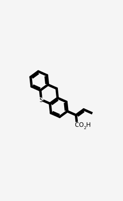 CC=C(C(=O)O)c1ccc2c(c1)Cc1ccccc1S2